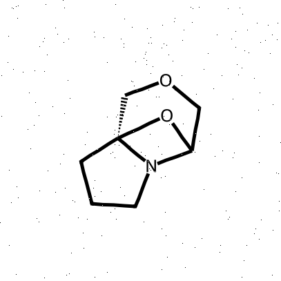 C1CN2C3COC[C@]2(C1)O3